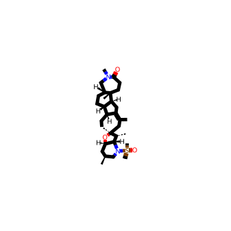 C=S(C)(=O)N1C[C@@H](C)C[C@H]2O[C@]3(CC[C@@H]4C(=C(C)C3)C[C@H]3[C@H]4CC[C@@H]4CN(C)C(=O)CC[C@@]43C)[C@H](C)[C@@H]21